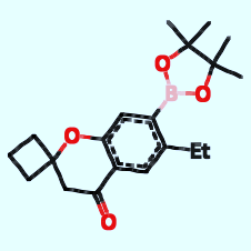 CCc1cc2c(cc1B1OC(C)(C)C(C)(C)O1)OC1(CCC1)CC2=O